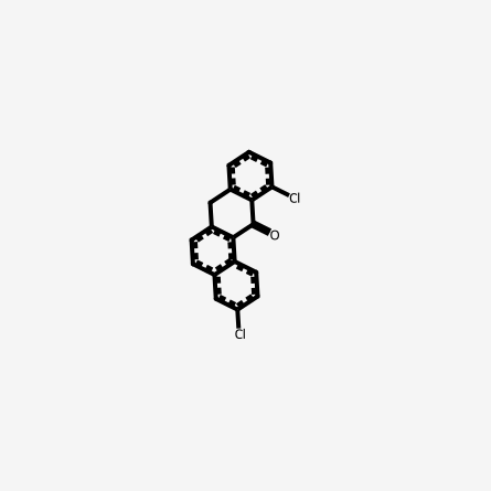 O=C1c2c(Cl)cccc2Cc2ccc3cc(Cl)ccc3c21